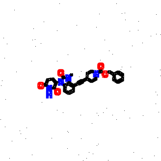 Cn1c(=O)n(C2CCC(=O)NC2=O)c2cccc(C#CC3CCN(C(=O)OCc4ccccc4)CC3)c21